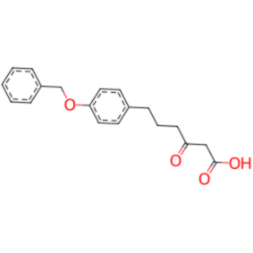 O=C(O)CC(=O)CCCc1ccc(OCc2ccccc2)cc1